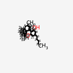 [2H]C1=C(C)CC([2H])([2H])[C@@]2([2H])C(C([2H])([2H])[2H])(C([2H])([2H])[2H])Oc3cc(CCCCC)cc(O)c3[C@]12[2H]